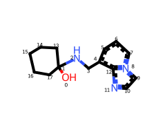 OC1(NCc2cccn3ccnc23)CCCCC1